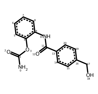 NC(=O)Oc1ccccc1NC(=O)c1ccc(CO)cc1